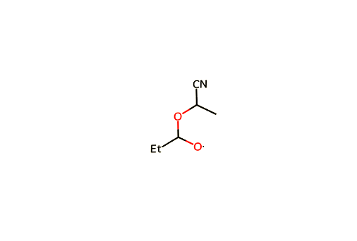 CCC([O])OC(C)C#N